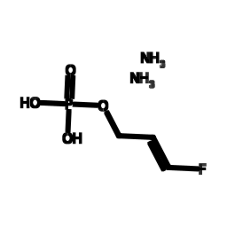 N.N.O=P(O)(O)OCC=CF